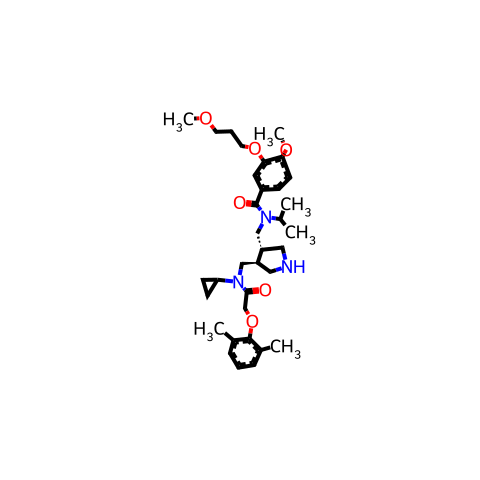 COCCCOc1cc(C(=O)N(C[C@@H]2CNC[C@H]2CN(C(=O)COc2c(C)cccc2C)C2CC2)C(C)C)ccc1OC